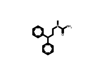 CN(CCC(c1ccccc1)c1ccccc1)C(N)=O